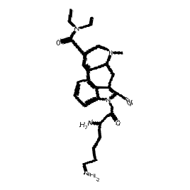 CCN(CC)C(=O)C1C=C2c3cccc4c3c(c(Br)n4C(=O)C(N)CCCCN)CC2N(C)C1